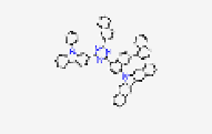 C1=CC2=C(c3ccc4c(-c5nc(-c6ccc7ccccc7c6)nc(-c6ccc7c8ccccc8n(-c8ccccc8)c7c6)n5)ccc(-n5c6cc7ccccc7cc6c6cc7ccccc7cc65)c4c3)C=CCC2C=C1